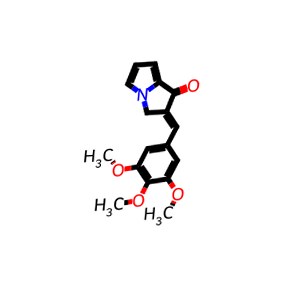 COc1cc(C=C2Cn3cccc3C2=O)cc(OC)c1OC